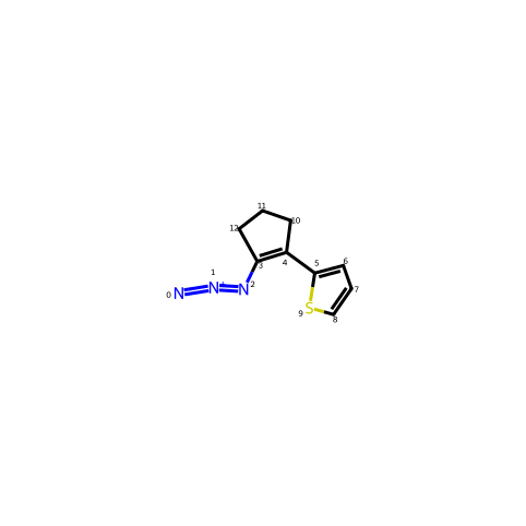 [N-]=[N+]=NC1=C(c2cccs2)CCC1